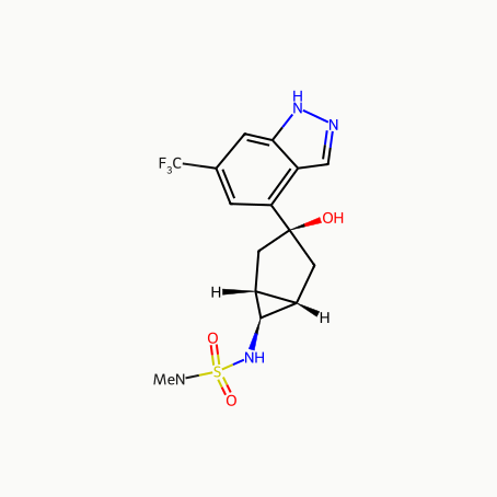 CNS(=O)(=O)N[C@H]1[C@@H]2C[C@](O)(c3cc(C(F)(F)F)cc4[nH]ncc34)C[C@@H]21